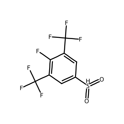 O=[SH](=O)c1cc(C(F)(F)F)c(F)c(C(F)(F)F)c1